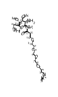 [N-]=[N+]=NCCOCCOCCOCCOCCC(=O)NC1OC(CO)C(O)C(O)C1N